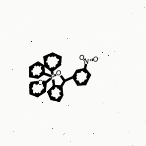 O=[N+]([O-])c1cccc(C2OP(c3ccccc3)(c3ccccc3)(c3ccccc3)c3ccccc32)c1